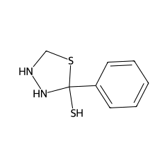 SC1(c2ccccc2)NNCS1